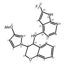 COc1ccn(C2COc3ccccc3C2Nc2ncnc3[nH]c(C(F)(F)F)cc23)n1